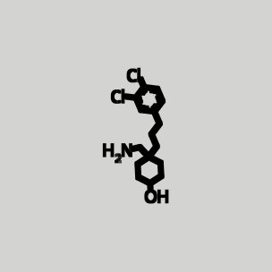 NCC1(CCCc2ccc(Cl)c(Cl)c2)CCC(O)CC1